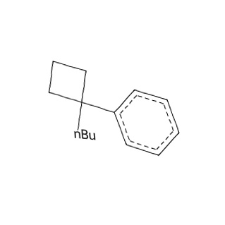 CCCCC1(c2ccccc2)CCC1